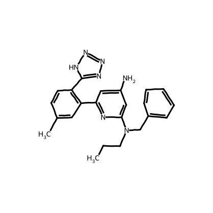 CCCN(Cc1ccccc1)c1cc(N)cc(-c2cc(C)ccc2-c2nnn[nH]2)n1